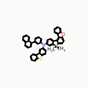 C[Si]1(C)c2cc(N(c3cccc(-c4cccc5ccccc45)c3)c3ccc4sc5ccccc5c4c3)ccc2-c2c1ccc1oc3ccccc3c21